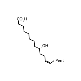 CCCCC/C=C\CC[C@@H](O)CCCCCCCC(=O)O